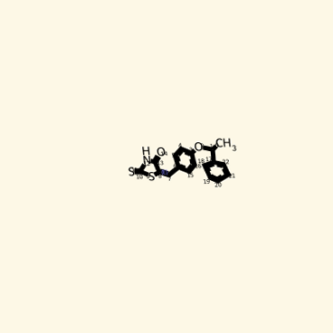 CC(Oc1ccc(/C=C2/SC(=S)NC2=O)cc1)c1ccccc1